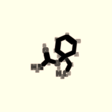 CC[C@@]1(OC(N)=O)C=CC=CC1